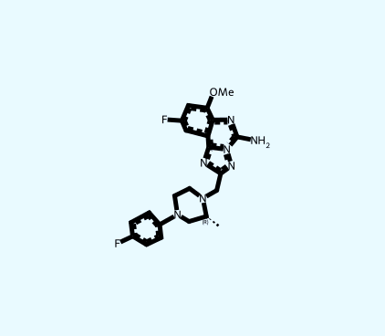 COc1cc(F)cc2c1nc(N)n1nc(CN3CCN(c4ccc(F)cc4)C[C@H]3C)nc21